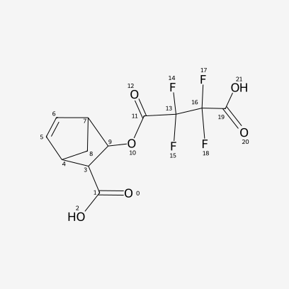 O=C(O)C1C2C=CC(C2)C1OC(=O)C(F)(F)C(F)(F)C(=O)O